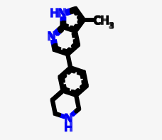 Cc1c[nH]c2ncc(-c3ccc4c(c3)CCNC4)cc12